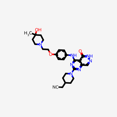 CC1(O)CCN(CCOc2ccc(Nc3nc(N4CCC(CC#N)CC4)nc4cn[nH]c(=O)c34)cc2)CC1